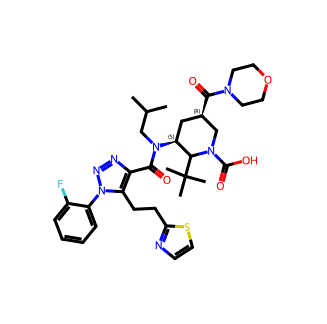 CC(C)CN(C(=O)c1nnn(-c2ccccc2F)c1CCc1nccs1)[C@H]1C[C@@H](C(=O)N2CCOCC2)CN(C(=O)O)C1C(C)(C)C